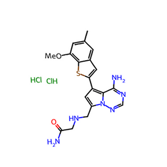 COc1cc(C)cc2cc(-c3cc(CNCC(N)=O)n4ncnc(N)c34)sc12.Cl.Cl